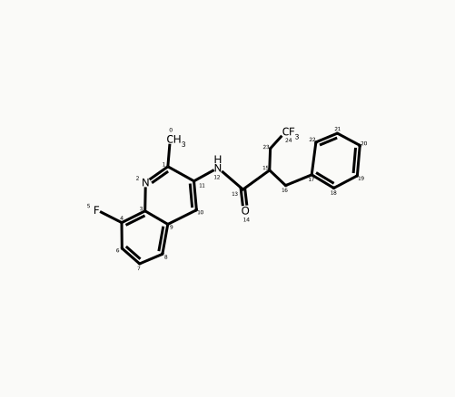 Cc1nc2c(F)cccc2cc1NC(=O)C(Cc1ccccc1)CC(F)(F)F